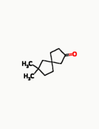 CC1(C)CCC2(CCC(=O)C2)C1